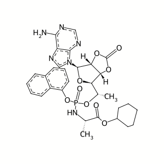 C[C@H](NP(=O)(Oc1cccc2ccccc12)O[C@@H](C)[C@H]1O[C@@H](n2cnc3c(N)ncnc32)[C@@H]2OC(=O)O[C@@H]21)C(=O)OC1CCCCC1